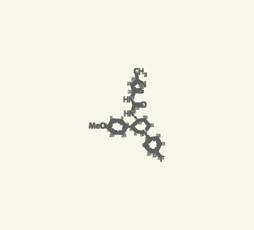 COc1ccc([C@@H]2CN(c3ccc(F)cc3)CC[C@H]2NC(=O)Nc2cc(C)ns2)cc1